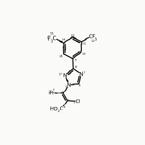 CC(C)C(=C(Cl)C(=O)O)n1cnc(-c2cc(C(F)(F)F)cc(C(F)(F)F)c2)n1